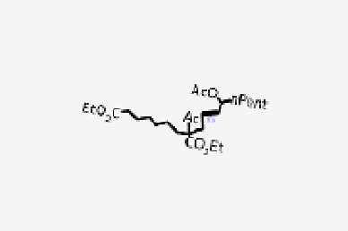 CCCCCC(/C=C/CC(CCCCCCC(=O)OCC)(C(C)=O)C(=O)OCC)OC(C)=O